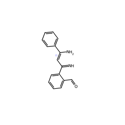 N=C(/C=C(\N)c1ccccc1)c1ccccc1C=O